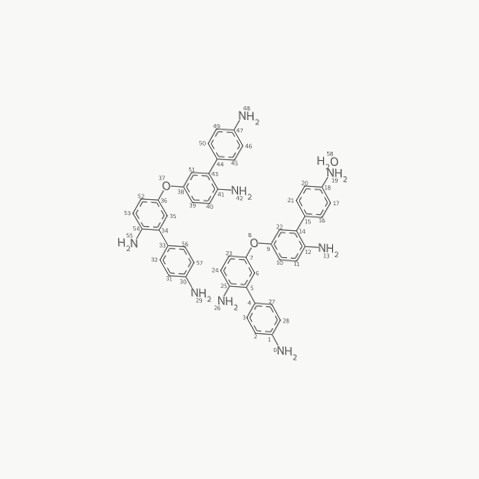 Nc1ccc(-c2cc(Oc3ccc(N)c(-c4ccc(N)cc4)c3)ccc2N)cc1.Nc1ccc(-c2cc(Oc3ccc(N)c(-c4ccc(N)cc4)c3)ccc2N)cc1.O